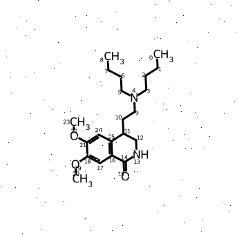 CCCCN(CCCC)CCC1CNC(=O)c2cc(OC)c(OC)cc21